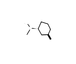 CCCN(C)[C@H]1CCCC(=O)C1